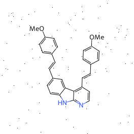 COc1ccc(C=Cc2ccc3[nH]c4nccc(C=Cc5ccc(OC)cc5)c4c3c2)cc1